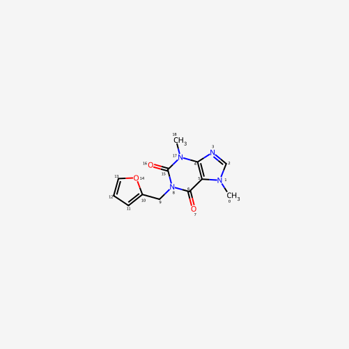 Cn1cnc2c1c(=O)n(Cc1ccco1)c(=O)n2C